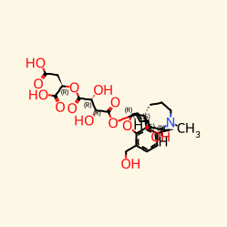 CN1CCC[C@]23c4c5ccc(CO)c4O[C@H]2C(OC(=O)[C@H](O)[C@@H](O)C(=O)O[C@H](CC(=O)O)C(=O)O)=CC[C@@]3(O)[C@H]1C5